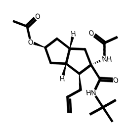 C=CC[C@H]1[C@@H]2C[C@@H](OC(C)=O)C[C@@H]2C[C@@]1(NC(C)=O)C(=O)NC(C)(C)C